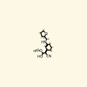 CCCOC(O)/C(C#N)=C1\C=C(NCC2CCCO2)CCC1